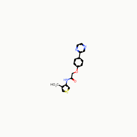 O=C(COc1ccc(-c2cnccn2)cc1)Nc1cscc1C(=O)O